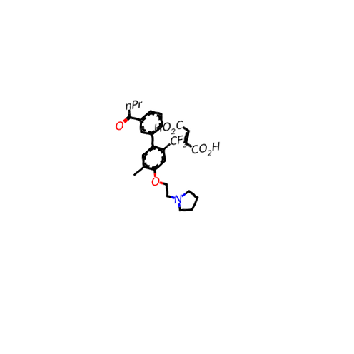 CCCC(=O)c1cccc(-c2cc(C)c(OCCN3CCCC3)cc2C(F)(F)F)c1.O=C(O)/C=C/C(=O)O